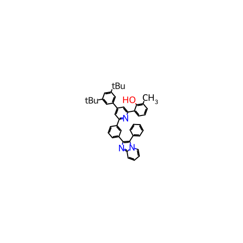 Cc1cccc(-c2cc(-c3cc(C(C)(C)C)cc(C(C)(C)C)c3)cc(-c3cccc(-c4nc5ccccn5c4-c4ccccc4)c3)n2)c1O